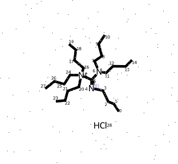 CCCC/N=C(\N(CCCC)CCCC)[N+](CCCC)(CCCC)CCCC.Cl